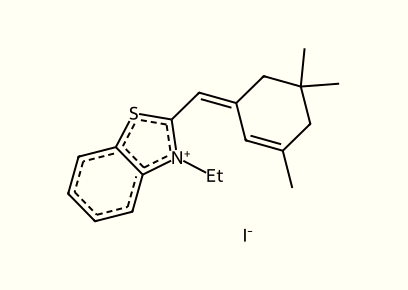 CC[n+]1c(/C=C2\C=C(C)CC(C)(C)C2)sc2ccccc21.[I-]